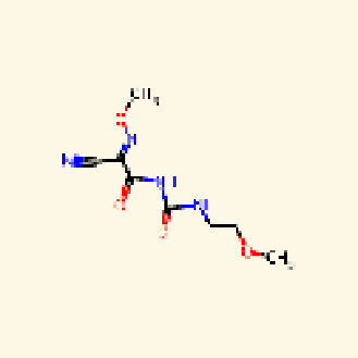 COCCNC(=O)NC(=O)C(C#N)=NOC